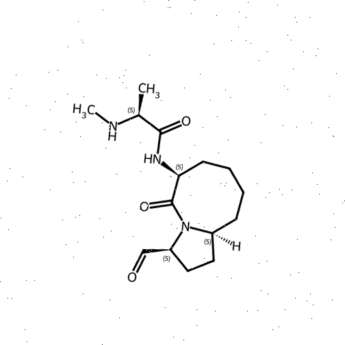 CN[C@@H](C)C(=O)N[C@H]1CCCC[C@H]2CC[C@@H](C=O)N2C1=O